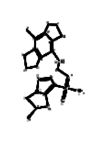 Cc1c2c(c(NCN=[S@](N)(=O)c3cnn4c3O[C@@H](C)C4)c3c1CCC3)CCC2